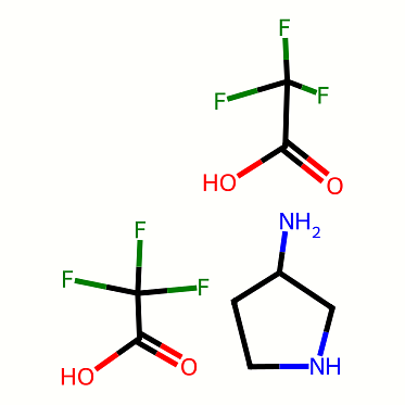 NC1CCNC1.O=C(O)C(F)(F)F.O=C(O)C(F)(F)F